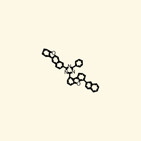 c1ccc(-c2nc(-c3ccc4cc5c(cc4c3)oc3ccccc35)nc(-c3cccc4oc5c(-c6ccc7ccccc7c6)cccc5c34)n2)cc1